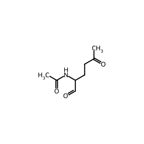 CC(=O)CCC(C=O)NC(C)=O